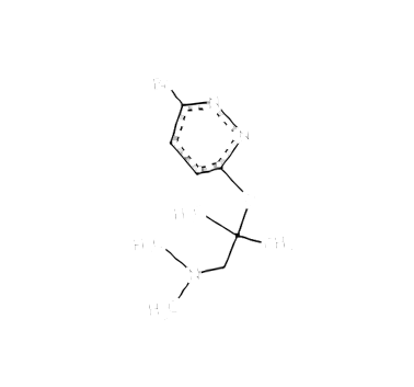 CN(C)CC(C)(C)Oc1ccc(Br)nn1